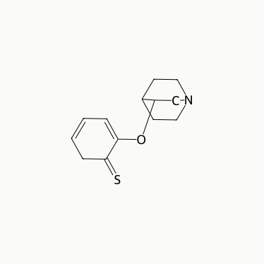 S=C1CC=CC=C1OC1CN2CCC1CC2